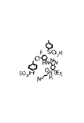 CCOc1cc2ncnc(Nc3ccc(F)c(Cl)c3)c2cc1NC(=O)/C=C/CN(C)C.Cc1ccc(S(=O)(=O)O)cc1.Cc1ccc(S(=O)(=O)O)cc1